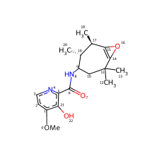 COc1ccnc(C(=O)NC2CC(C)(C)C3=C(O3)[C@H](C)[C@H]2C)c1O